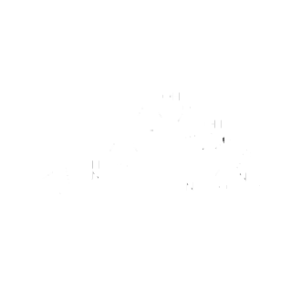 CN(C)C1C(O)=C(C(N)=O)C(=O)C2(O)C(O)=C3C(=O)c4c(O)ccc(-c5ccc(CNCc6cccc(F)c6)cc5)c4CC3CC12